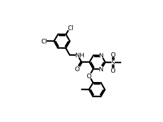 Cc1ccccc1Oc1nc(S(C)(=O)=O)ncc1C(=O)NCc1cc(Cl)cc(Cl)c1